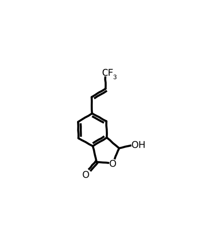 O=C1OC(O)c2cc(C=CC(F)(F)F)ccc21